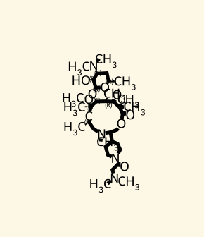 CO[C@]1(C)C[C@@H](C)CN(C)C(C2CCN(C(=O)CN(C)C)CC2)COC(=O)C(C)(C)C(=O)[C@H](C)[C@H]1O[C@@H]1O[C@H](C)C[C@H](N(C)C)[C@H]1O